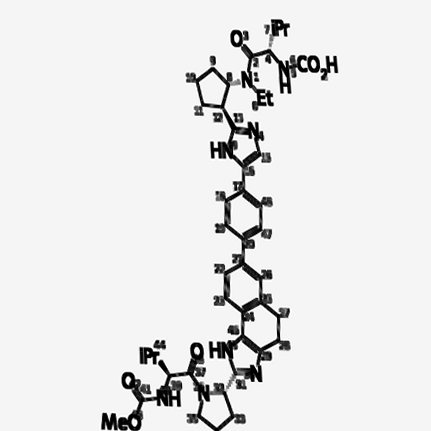 CCN(C(=O)[C@@H](NC(=O)O)C(C)C)[C@H]1CCC[C@@H]1c1ncc(-c2ccc(-c3ccc4c(c3)CCc3nc([C@@H]5CCCN5C(=O)[C@@H](NC(=O)OC)C(C)C)[nH]c3-4)cc2)[nH]1